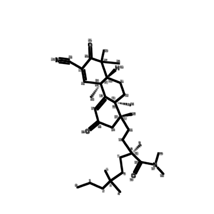 CCCC(C)(C)CC[C@@](C)(CC[C@]1(C)CC(=O)C=C2[C@@]3(C)C=C(C#N)C(=O)C(C)(C)[C@@H]3CC[C@]21C)C(=O)N(C)C